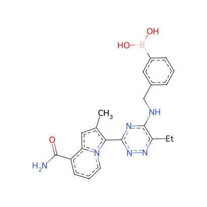 CCc1nnc(-c2c(C)cc3c(C(N)=O)cccn23)nc1NCc1cccc(B(O)O)c1